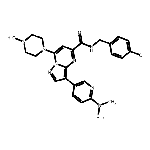 CN1CCN(c2cc(C(=O)NCc3ccc(Cl)cc3)nc3c(-c4ccc(N(C)C)nc4)cnn23)CC1